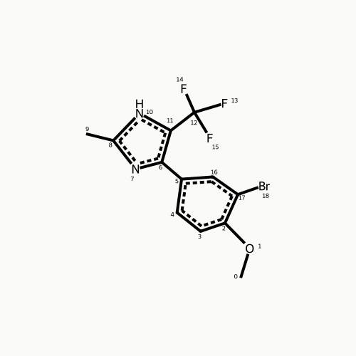 COc1ccc(-c2nc(C)[nH]c2C(F)(F)F)cc1Br